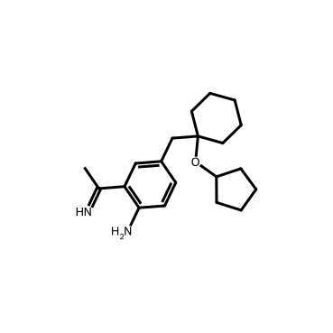 CC(=N)c1cc(CC2(OC3CCCC3)CCCCC2)ccc1N